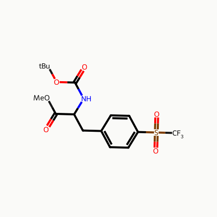 COC(=O)C(Cc1ccc(S(=O)(=O)C(F)(F)F)cc1)NC(=O)OC(C)(C)C